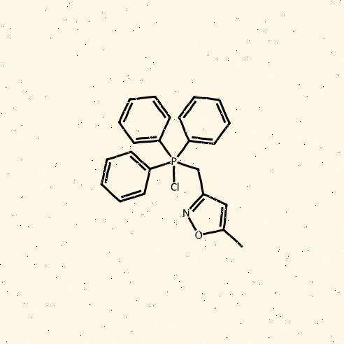 Cc1cc(CP(Cl)(c2ccccc2)(c2ccccc2)c2ccccc2)no1